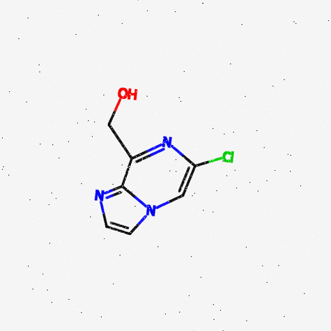 OCc1nc(Cl)cn2ccnc12